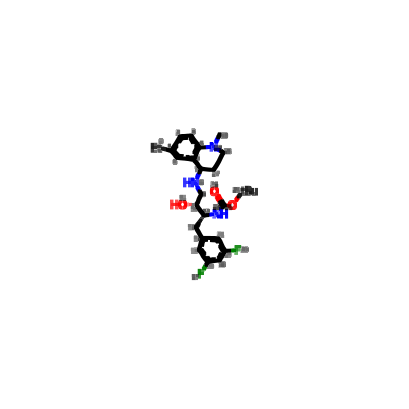 CCc1ccc2c(c1)C(NC[C@@H](O)[C@H](Cc1cc(F)cc(F)c1)NC(=O)OC(C)(C)C)CCN2C